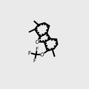 Cc1ccc2c(oc3c(OC(F)(F)F)c(C)ccc32)c1C